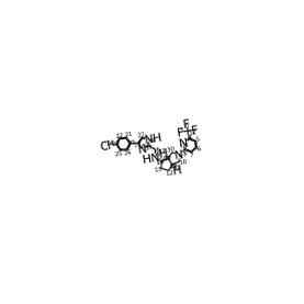 FC(F)(F)c1cccc(N2C[C@H]3CC[C@H](NCc4nc(-c5ccc(Cl)cc5)c[nH]4)[C@H]3C2)n1